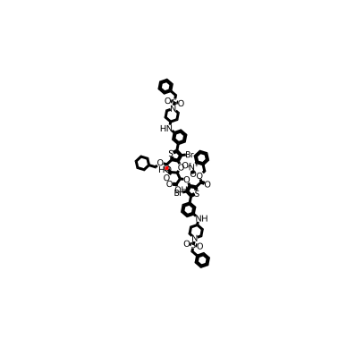 O=C(OCc1ccccc1[N+](=O)[O-])c1sc(-c2cccc(NC3CCN(S(=O)(=O)Cc4ccccc4)CC3)c2)c(Br)c1OC(C(=O)O)C(Oc1c(C(=O)OCC2CCCCC2)sc(-c2cccc(NC3CCN(S(=O)(=O)Cc4ccccc4)CC3)c2)c1Br)C(=O)O